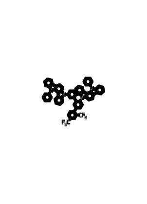 N#Cc1ccc(-n2c3ccccc3c3c2ccc2c4ccccc4n(-c4ccccc4)c23)cc1-c1cc(-c2ccc(C(F)(F)F)cc2C(F)(F)F)ccc1-n1c2ccccc2c2c1ccc1c3ccccc3n(-c3ccccc3)c12